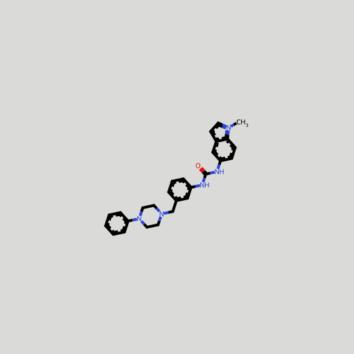 Cn1ccc2cc(NC(=O)Nc3cccc(CN4CCN(c5ccccc5)CC4)c3)ccc21